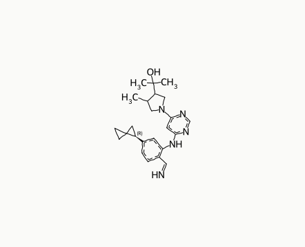 CC1CN(c2cc(Nc3cc([C@@H]4CC45CC5)ccc3C=N)ncn2)CC1C(C)(C)O